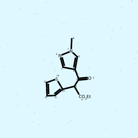 CCOC(=O)C(C(=O)c1cnn(C)c1)c1cccs1